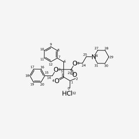 CC(C)C(=O)C(Cc1ccccc1)(OCc1ccccc1)C(=O)OCCN1CCCCC1.Cl